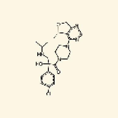 CC(C)NCC(O)(C(=O)N1CCN(c2ncnc3c2[C@H](C)OC3)CC1)c1ccc(Cl)cc1